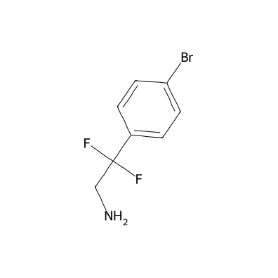 NCC(F)(F)c1ccc(Br)cc1